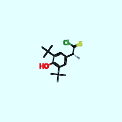 C[C@@H](C(=S)Cl)c1cc(C(C)(C)C)c(O)c(C(C)(C)C)c1